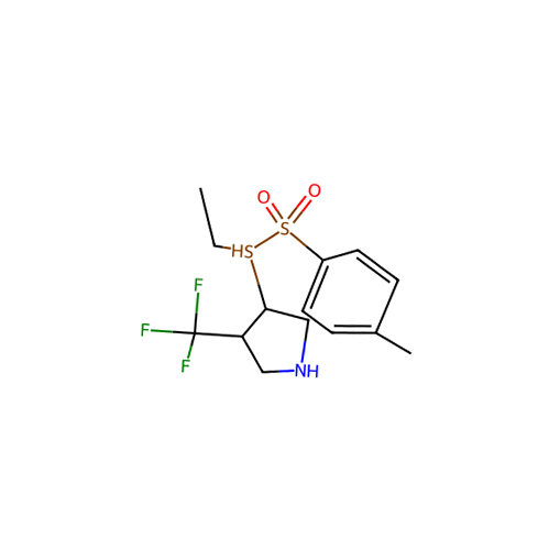 CC[SH](C1CNCC1C(F)(F)F)S(=O)(=O)c1ccc(C)cc1